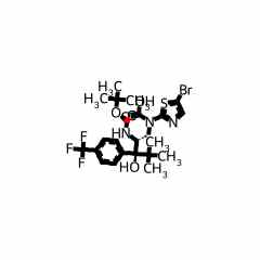 CC(C)(C)OC(=O)N[C@H](CN(C(=O)O)c1ncc(Br)s1)[C@@](O)(c1ccc(C(F)(F)F)cc1)C(C)(C)C